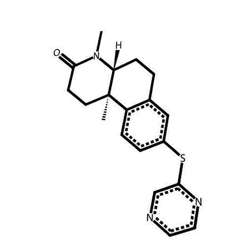 CN1C(=O)CC[C@]2(C)c3ccc(Sc4cnccn4)cc3CC[C@@H]12